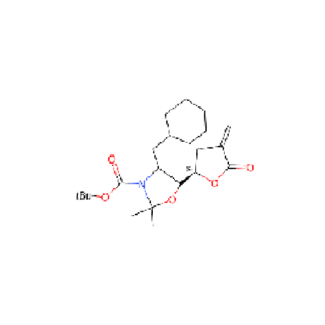 C=C1C[C@H](C2OC(C)(C)N(C(=O)OC(C)(C)C)C2CC2CCCCC2)OC1=O